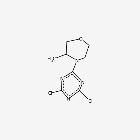 CC1COCCN1c1nc(Cl)nc(Cl)n1